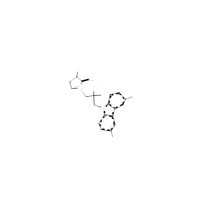 CC(O)(CN1CCC(F)C1=O)Cn1c2ccc(F)cc2c2cc(F)ccc21